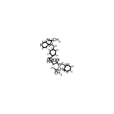 Cc1nc2cnccc2n1Cc1ccc(S(=O)(=O)N[C@@H](CC(C)C)C(=O)OCc2ccccc2)cc1